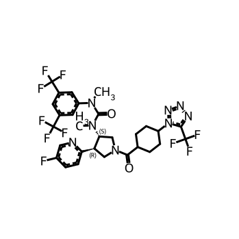 CN(C(=O)N(C)[C@@H]1CN(C(=O)C2CCC(n3nnnc3C(F)(F)F)CC2)C[C@H]1c1ccc(F)cn1)c1cc(C(F)(F)F)cc(C(F)(F)F)c1